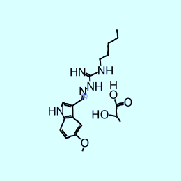 CC(O)C(=O)O.CCCCCNC(=N)N/N=C/c1c[nH]c2ccc(OC)cc12